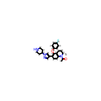 CC(=O)N1c2ccc(-c3cnn(C4CCNCC4)c3)c(Oc3ccc(F)cc3)c2CC[C@@H]1C